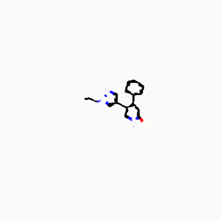 CCCn1cc(-c2cn(C)c(=O)cc2-c2ccccc2)cn1